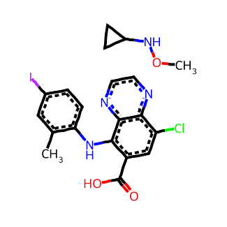 CONC1CC1.Cc1cc(I)ccc1Nc1c(C(=O)O)cc(Cl)c2nccnc12